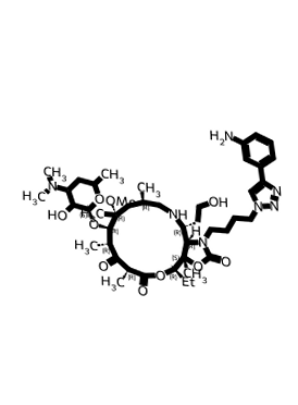 CC[C@H]1OC(=O)[C@H](C)C(=O)[C@H](C)[C@@H](O[C@@H]2OC(C)CC(N(C)C)C2O)[C@](C)(OC)C[C@@H](C)CN[C@H](CCO)[C@H]2N(CCCCn3cc(-c4cccc(N)c4)nn3)C(=O)O[C@]12C